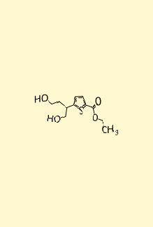 CCOC(=O)c1ccc(C(CO)CCO)s1